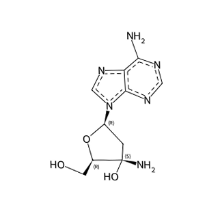 Nc1ncnc2c1ncn2[C@H]1C[C@](N)(O)[C@@H](CO)O1